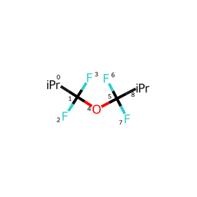 CC(C)C(F)(F)OC(F)(F)C(C)C